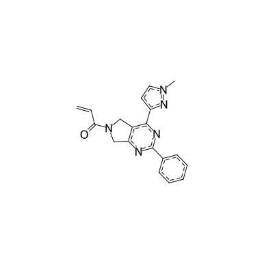 C=CC(=O)N1Cc2nc(-c3ccccc3)nc(-c3ccn(C)n3)c2C1